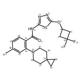 O=C(Nc1nnc(OC2CC(F)(F)C2)s1)c1ccc(I)cc1N1CCC2(CC1)CC2